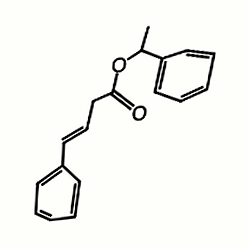 CC(OC(=O)CC=Cc1ccccc1)c1ccccc1